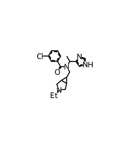 CCN1CC2C(C1)C2CN(C(=O)c1cccc(Cl)c1)C(C)c1c[nH]cn1